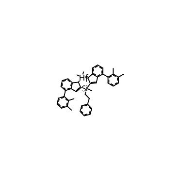 Cc1cccc(-c2cccc3c2C=C2[CH]3[Hf]([CH3])([CH3])[CH]3C(=Cc4c(-c5cccc(C)c5C)cccc43)[Si]2(C)CCc2ccccc2)c1C